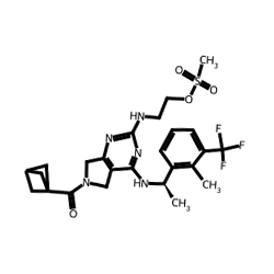 Cc1c([C@@H](C)Nc2nc(NCCOS(C)(=O)=O)nc3c2CN(C(=O)C24CC(C2)C4)C3)cccc1C(F)(F)F